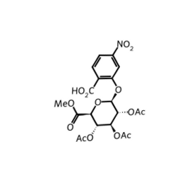 COC(=O)[C@H]1O[C@@H](Oc2cc([N+](=O)[O-])ccc2C(=O)O)[C@H](OC(C)=O)[C@@H](OC(C)=O)[C@@H]1OC(C)=O